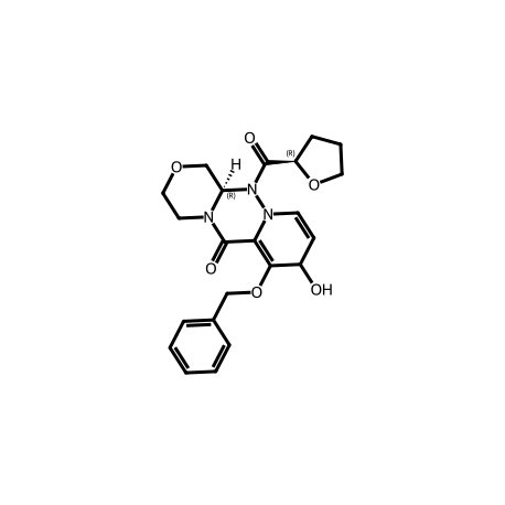 O=C1C2=C(OCc3ccccc3)C(O)C=CN2N(C(=O)[C@H]2CCCO2)[C@@H]2COCCN12